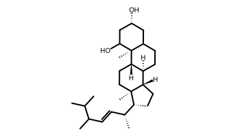 CC(C)C(C)/C=C/[C@@H](C)[C@H]1CC[C@H]2[C@@H]3CCC4C[C@@H](O)CC(O)[C@]4(C)[C@H]3CC[C@]12C